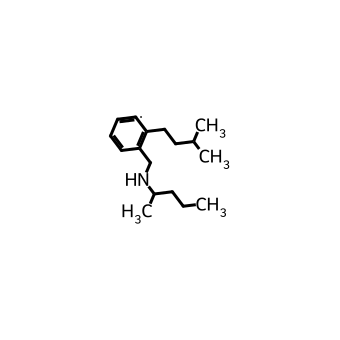 CCCC(C)NCc1ccc[c]c1CCC(C)C